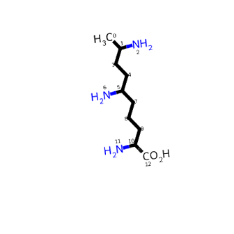 CC(N)CCC(N)CCCC(N)C(=O)O